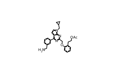 CC(=O)OCCc1ccccc1OCc1nc(-c2cccc(CN)c2)c2ccn(CC3CC3)c2n1